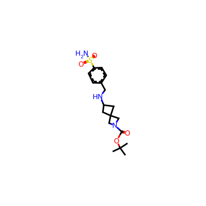 CC(C)(C)OC(=O)N1CC2(CC(NCc3ccc(S(N)(=O)=O)cc3)C2)C1